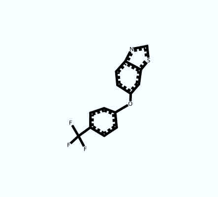 FC(F)(F)c1ccc(Oc2ccc3ncsc3c2)cc1